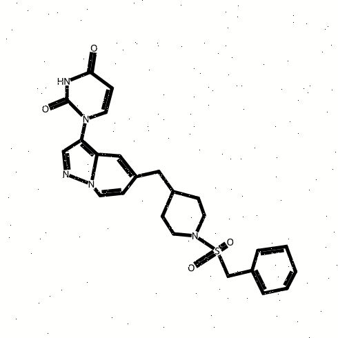 O=c1ccn(-c2cnn3ccc(CC4CCN(S(=O)(=O)Cc5ccccc5)CC4)cc23)c(=O)[nH]1